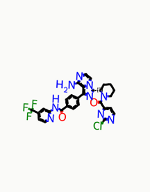 Nc1nccn2c([C@@H]3CCCCN3C(=O)c3ccnc(Cl)n3)nc(-c3ccc(C(=O)Nc4cc(C(F)(F)F)ccn4)cc3)c12